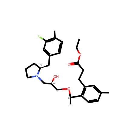 CCOC(=O)CCc1cc(C)ccc1[C@@H](C)OC[C@H](O)CN1CCC[C@H]1Cc1ccc(C)c(F)c1